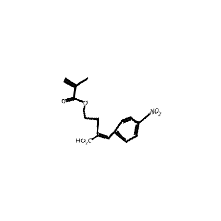 C=C(C)C(=O)OCCC(=Cc1ccc([N+](=O)[O-])cc1)C(=O)O